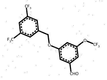 O=Cc1cc(OCc2cc(C(F)(F)F)cc(C(F)(F)F)c2)cc(OC(F)(F)F)c1